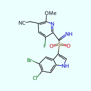 COc1nc(C(=N)S(=O)(=O)c2c[nH]c3cc(Cl)c(Br)cc23)c(F)cc1CC#N